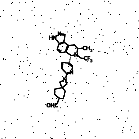 C[C@@H]1Cc2c(ccc3[nH]ncc23)[C@@H](c2ccc(N3CC4(CCC(C=O)CC4)C3)nc2)N1CC(F)(F)F